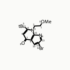 COCCn1c(C(C)(C)C)cc(=O)c2cc(Br)cnc21